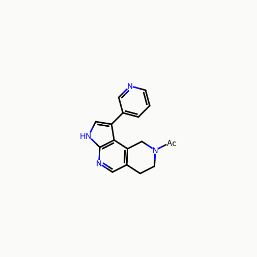 CC(=O)N1CCc2cnc3[nH]cc(-c4cccnc4)c3c2C1